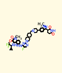 Cn1nc(C2CCC(=O)NC2=O)c2ccc(C3CCN(CC4CCC5(CC4)CCN(c4ncc(F)c(Nc6ccc7c(c6)c6c(c(=O)n7C)OCC(F)(F)C(C7CC7)N6)n4)CC5)CC3)cc21